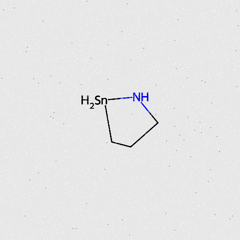 C1C[NH][SnH2][CH2]1